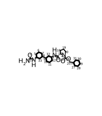 NC(=O)Nc1cccc(-c2cccc(NC(=O)[C@@H]3CCCN3C(=O)OCc3ccccc3)c2)c1